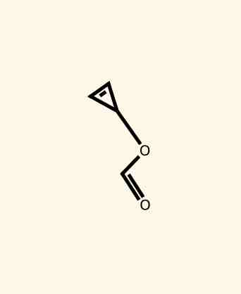 O=COC1C=C1